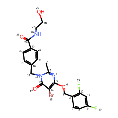 Cc1nc(OCc2ccc(F)cc2F)c(Br)c(=O)n1Cc1ccc(C(=O)NCCO)cc1